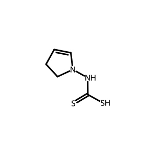 S=C(S)NN1C=CCC1